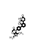 Cc1nn(C)c2c1N(c1ccc(-c3cccc(C4CCC(=O)NC4=O)c3Cl)cc1)C(=O)CO2